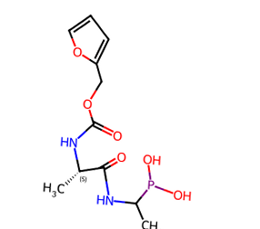 CC(NC(=O)[C@H](C)NC(=O)OCc1ccco1)P(O)O